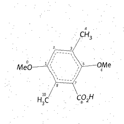 COc1cc(C)c(OC)c(C(=O)O)c1C